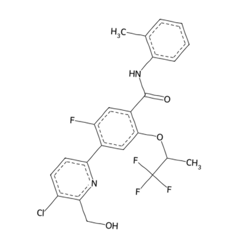 Cc1ccccc1NC(=O)c1cc(F)c(-c2ccc(Cl)c(CO)n2)cc1OC(C)C(F)(F)F